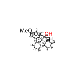 COc1ccc(C(c2ccccc2)(c2ccccc2)C(C)(O)C(=O)O)cc1